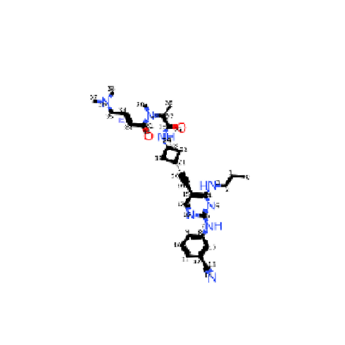 CCCNc1nc(Nc2cccc(C#N)c2)ncc1C#C[C@H]1C[C@@H](NC(=O)[C@H](C)N(C)C(=O)/C=C/CN(C)C)C1